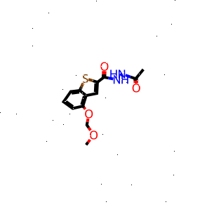 COCOc1cccc2sc(C(=O)NNC(C)=O)cc12